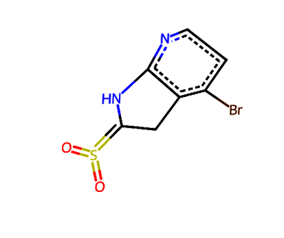 O=S(=O)=C1Cc2c(Br)ccnc2N1